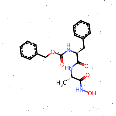 C[C@H](NC(=O)[C@H](Cc1ccccc1)NC(=O)OCc1ccccc1)C(=O)NO